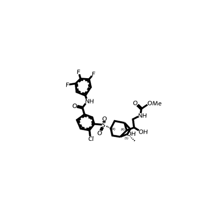 COC(=O)NCC(O)[C@@]1(O)C2C[C@@H](S(=O)(=O)c3cc(C(=O)Nc4cc(F)c(F)c(F)c4)ccc3Cl)CC1[C@@H](C)C2